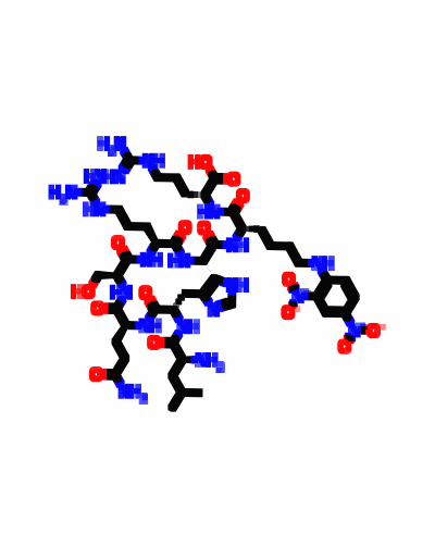 CC(C)C[C@H](N)C(=O)N[C@@H](Cc1c[nH]cn1)C(=O)N[C@@H](CCC(N)=O)C(=O)N[C@@H](CO)C(=O)N[C@@H](CCCNC(=N)N)C(=O)NCC(=O)N[C@@H](CCCCNc1ccc([N+](=O)[O-])cc1[N+](=O)[O-])C(=O)N[C@H](CCCNC(=N)N)C(=O)O